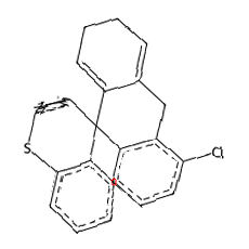 Clc1cccc2c1CC1=CCCC=C1C21c2ccccc2Sc2ccccc21